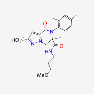 COCCCNC(=O)C1(C)Cn2nc(C(=O)O)cc2C(=O)N1c1ccc(C)cc1C